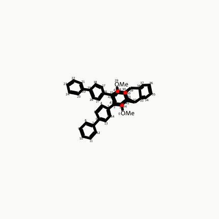 COc1c(-c2ccc(-c3ccccc3)cc2)c(-c2ccc(-c3ccccc3)cc2)c(OC)c2c1C1c3ccccc3C2c2ccccc21